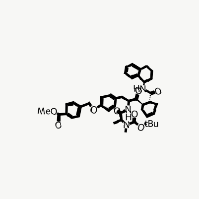 COC(=O)c1ccc(COc2ccc(CC(NC(=O)C(C)N(C)C(=O)OC(C)(C)C)C(=O)[C@@H]3CC=CC[C@H]3C(=O)N[C@@H]3CCCc4ccccc43)cc2)cc1